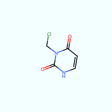 O=c1cc[nH]c(=O)n1CCl